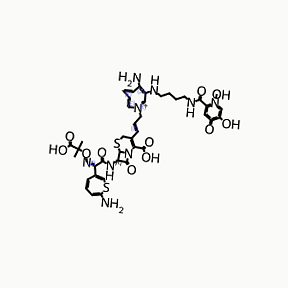 CC(C)(O/N=C(\C(=O)N[C@@H]1C(=O)N2C(C(=O)O)=C(/C=C/C[N+]3=C/C(NCCCCNC(=O)c4cc(=O)c(O)cn4O)=C(N)\C=C\C=C\3)CSC12)C1=CSC(N)=CC=C1)C(=O)O